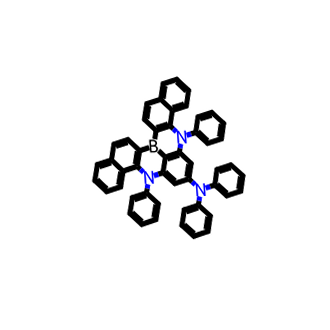 c1ccc(N(c2ccccc2)c2cc3c4c(c2)N(c2ccccc2)c2c(ccc5ccccc25)B4c2ccc4ccccc4c2N3c2ccccc2)cc1